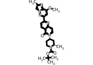 COc1cc(-c2ccc3c(=O)n([C@H]4CCN(C(=O)OC(C)(C)C)[C@@H](C)C4)ccc3n2)nn2cc(C)nc12